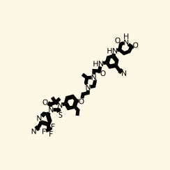 CCc1cc(N2C(=S)N(c3cnc(C#N)c(C(F)(F)F)c3)C(=O)C2(C)C)ccc1OCCN1CCN(CC(=O)Nc2cc(C#N)cc(NC3CCC(=O)NC3=O)c2)C(C)C1